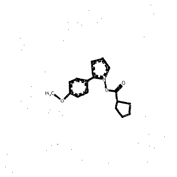 COc1ccc(-c2cccn2OC(=O)C2CCCC2)cc1